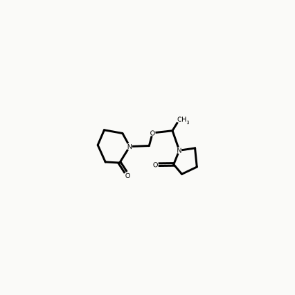 CC(OCN1CCCCC1=O)N1CCCC1=O